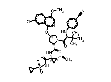 C=C[C@@H]1C[C@]1(NC(=O)[C@@H]1C[C@@H](Oc2ncc(OC)c3ccc(Cl)cc23)CN1C(=O)C(Nc1ccc(C#N)cc1)C(C)(C)C)C(=O)NS(=O)(=O)C1CC1